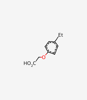 CCc1ccc(OCC(=O)O)cc1